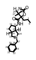 CCCC(OC(N)=O)(C(=O)N[C@@H]1CC[C@H]2CN(Cc3ccccc3)C[C@H]21)C(C)(C)C